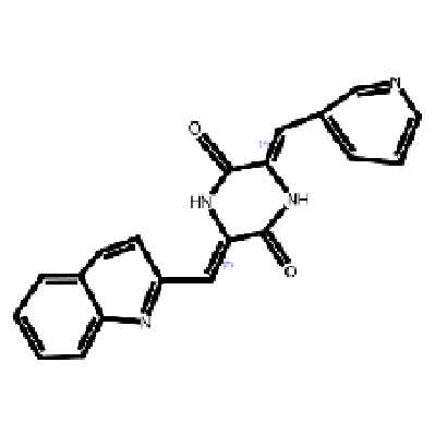 O=c1[nH]/c(=C\c2ccc3ccccc3n2)c(=O)[nH]/c1=C\c1cccnc1